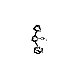 Cn1c(-c2cccs2)ccc1N1CCN2CCC1CC2